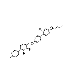 CCCCOc1ccc(-c2ccc(OCc3ccc(C4CCC(C)CC4)c(F)c3F)cc2)c(F)c1